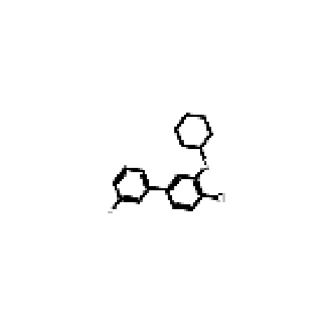 Fc1cccc(-c2ccc(Cl)c(SC3CCCCC3)c2)c1